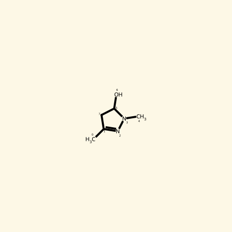 CC1=NN(C)C(O)C1